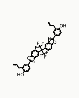 C=CCc1cc(-c2nc3cc(C(c4ccc5oc(-c6ccc(O)c(CC=C)c6)nc5c4)(C(F)(F)F)C(F)(F)F)ccc3o2)ccc1O